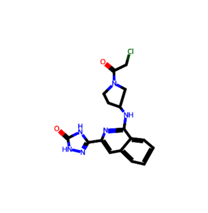 O=C(CCl)N1CCC(Nc2nc(-c3n[nH]c(=O)[nH]3)cc3ccccc23)C1